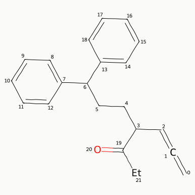 C=C=CC(CCC(c1ccccc1)c1ccccc1)C(=O)CC